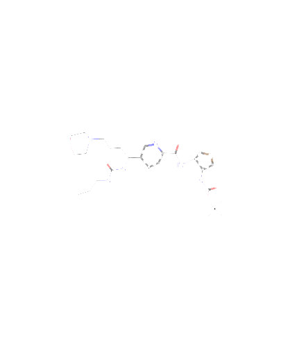 CCCNC(=O)NC(CCCN1CCOCC1)c1ccc(C(=O)Nc2cscc2NC(=O)OC(C)(C)C)nc1